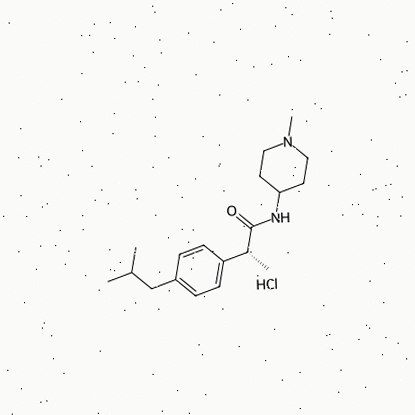 CC(C)Cc1ccc([C@@H](C)C(=O)NC2CCN(C)CC2)cc1.Cl